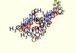 C#CC(C)Oc1cc(N2C(=O)C3=C(CCCC3)C2=O)c(F)cc1Cl.CCS(=O)(=O)c1cccnc1S(=O)(=O)NC(=O)Nc1nc(OC)cc(OC)n1.COc1nc(C)nc(NC(=O)NS(=O)(=O)c2ccccc2CCC(F)(F)F)n1